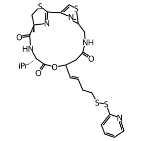 CC(C)[C@@H]1NC(=O)[C@]2(C)CSC(=N2)c2csc(n2)CNC(=O)CC(/C=C/CCSSc2ccccn2)OC1=O